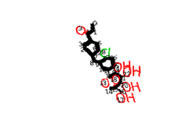 CCC(=O)c1ccc(Cc2cc([C@]34OC[C@](CO)(O3)[C@@H](O)[C@H](O)[C@H]4O)ccc2Cl)cc1